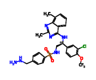 Cc1nc(N[C@H](CNS(=O)(=O)c2ccc(CNN)cc2)c2ccc(OC(F)(F)F)c(Cl)c2)c2cccc(C)c2n1